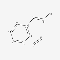 C=C.CC=Cc1ccccc1